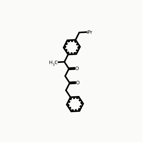 CC(C)Cc1ccc(C(C)C(=O)CC(=O)Cc2ccccc2)cc1